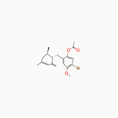 C=C1C=C(C)C[C@@H](C)[C@@H]1Cc1cc(OC)c(Br)cc1OC(C)=O